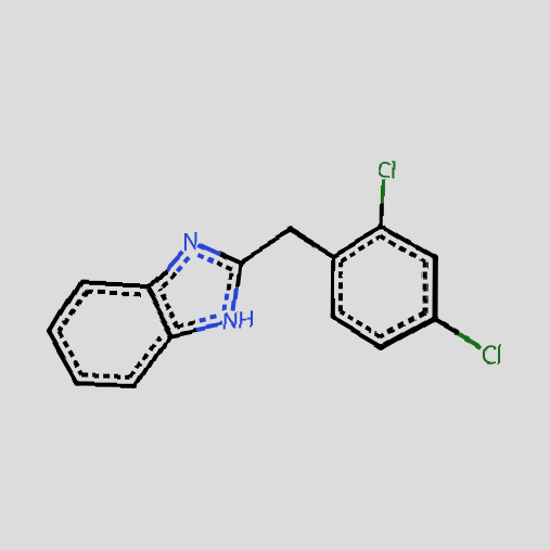 Clc1ccc(Cc2nc3ccccc3[nH]2)c(Cl)c1